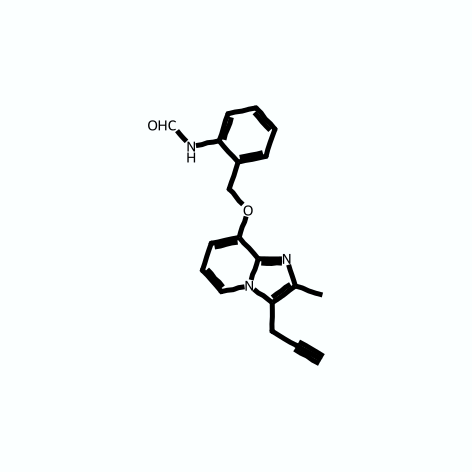 C#CCc1c(C)nc2c(OCc3ccccc3NC=O)cccn12